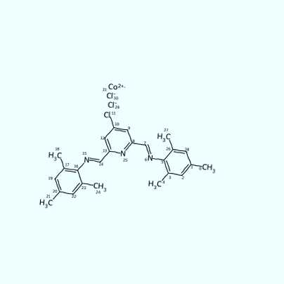 Cc1cc(C)c(N=Cc2cc(Cl)cc(C=Nc3c(C)cc(C)cc3C)n2)c(C)c1.[Cl-].[Cl-].[Co+2]